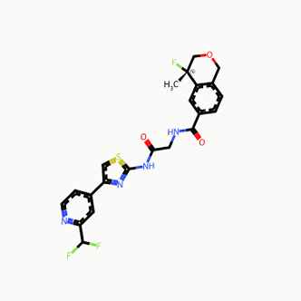 C[C@@]1(F)COCc2ccc(C(=O)NCC(=O)Nc3nc(-c4ccnc(C(F)F)c4)cs3)cc21